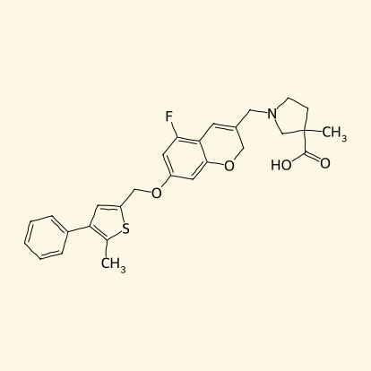 Cc1sc(COc2cc(F)c3c(c2)OCC(CN2CCC(C)(C(=O)O)C2)=C3)cc1-c1ccccc1